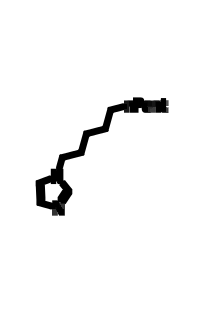 [CH2]CCCCCCCCCn1ccnc1